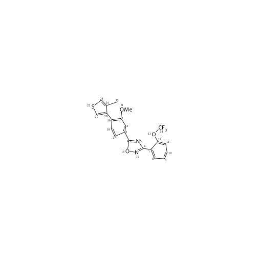 COc1cc(-c2nc(-c3ccccc3OC(F)(F)F)no2)ccc1-c1cscc1C